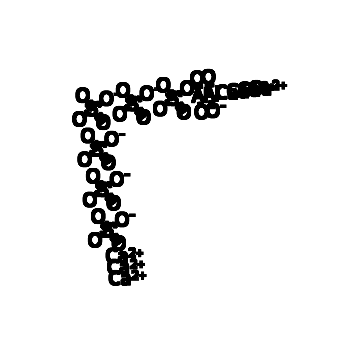 O=S(=O)([O-])[O-].O=S(=O)([O-])[O-].O=S(=O)([O-])[O-].O=S(=O)([O-])[O-].O=S(=O)([O-])[O-].O=S(=O)([O-])[O-].[Ca+2].[Ca+2].[Ca+2].[Ca+2].[Ca+2].[Ca+2].[Ca+2].[O]=[Al][O-].[O]=[Al][O-]